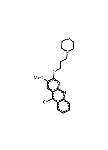 COc1cc2c(Cl)c3ccccc3nc2cc1OCCCN1CCOCC1